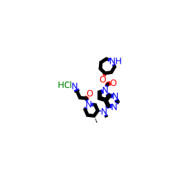 C[C@@H]1CCN(C(=O)CC#N)C[C@@H]1N(C)c1ncnc2c1ccn2C(=O)OC1CCCNCC1.Cl